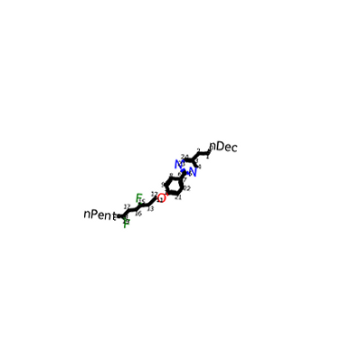 CCCCCCCCCCCCc1cnc(-c2ccc(OCCC(F)CCC(F)CCCCC)cc2)nc1